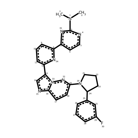 CN(C)c1nccc(-c2cccc(-c3cnc4ccc(N5CCCC5c5cccc(F)c5)nn34)n2)n1